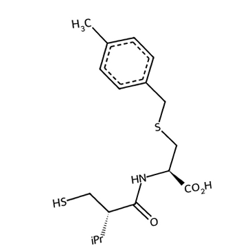 Cc1ccc(CSC[C@H](NC(=O)[C@@H](CS)C(C)C)C(=O)O)cc1